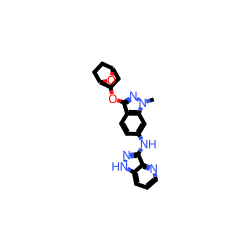 Cn1nc(OC2CC3CCC2O3)c2ccc(Nc3n[nH]c4cccnc34)cc21